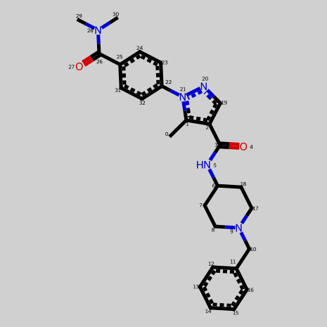 Cc1c(C(=O)NC2CCN(Cc3ccccc3)CC2)cnn1-c1ccc(C(=O)N(C)C)cc1